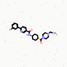 CCN1CCN(C(=O)[C@H]2CC[C@H](NC(=O)c3ccc(-c4cccc(F)c4)nc3)CC2)CC1